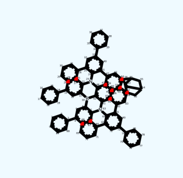 c1ccc(-c2ccc3c(c2)B2c4cc(-c5ccccc5)ccc4N(c4c(-c5ccccc5)cc(-c5ccccc5)cc4-c4ccccc4)c4cc(N5C6CC7CC(C6)C5C7)cc(c42)N3c2c(-c3ccccc3)cc(-c3ccccc3)cc2-c2ccccc2)cc1